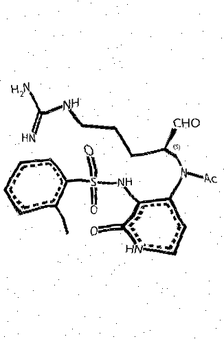 CC(=O)N(c1cc[nH]c(=O)c1NS(=O)(=O)c1ccccc1C)[C@H](C=O)CCCNC(=N)N